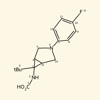 CC(C)(C)C1(NC(=O)O)C2CN(c3ccc(F)cc3)CC21